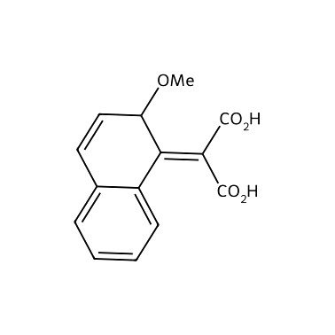 COC1C=Cc2ccccc2C1=C(C(=O)O)C(=O)O